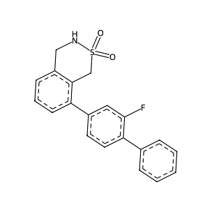 O=S1(=O)Cc2c(cccc2-c2ccc(-c3ccccc3)c(F)c2)CN1